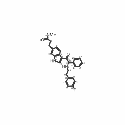 CNC(=O)CCc1ccc2c(C(=O)[C@H](NCCc3ccc(F)cc3)c3ccccc3)c[nH]c2c1